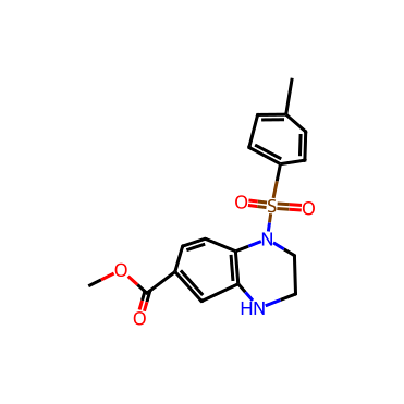 COC(=O)c1ccc2c(c1)NCCN2S(=O)(=O)c1ccc(C)cc1